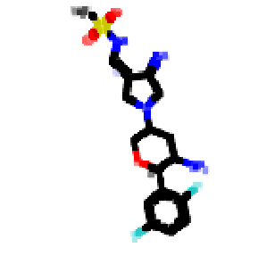 CS(=O)(=O)N/C=C1/CN(C2CO[C@H](c3cc(F)ccc3F)C(N)C2)CC1=N